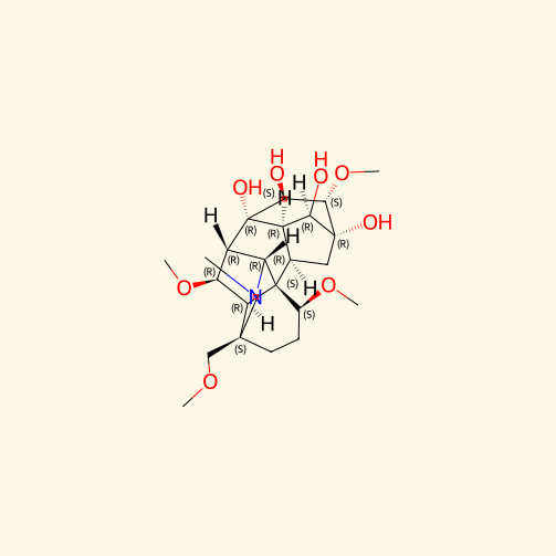 COC[C@@]12CC[C@H](OC)[C@@]34[C@@H]5C[C@@]6(O)[C@H](O)[C@@H]5[C@@](O)([C@@H]([C@H](OC)[C@H]13)[C@H]4N(C)C2)[C@@H](O)[C@@H]6OC